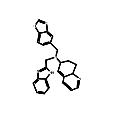 C1=CC2=CC(N(Cc3ccc4ocnc4c3)Cc3nc4ccccc4[nH]3)CCC2N=C1